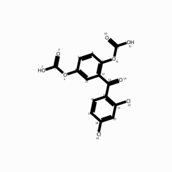 O=C(O)Oc1ccc(OC(=O)O)c(C(=O)c2ccc(Cl)cc2Cl)c1